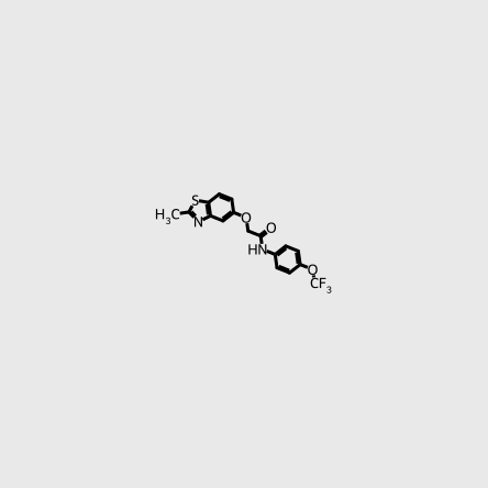 Cc1nc2cc(OCC(=O)Nc3ccc(OC(F)(F)F)cc3)ccc2s1